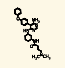 CN(C)C/C=C/C(=O)NC1CCCC(Nc2ncnc(N)c2-c2ccc(Oc3ccccc3)cc2)C1